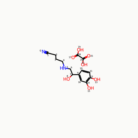 N#CCCCNCC(O)c1ccc(O)c(O)c1.O=C(O)C(=O)O